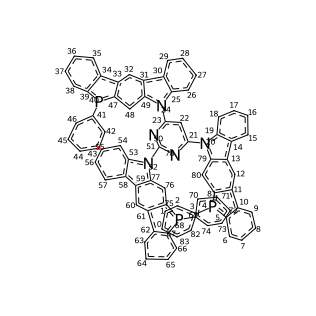 c1ccc(-p2c3ccccc3c3cc4c5ccccc5n(-c5cc(-n6c7ccccc7c7cc8c9ccccc9p(-c9ccccc9)c8cc76)nc(-n6c7ccccc7c7cc8c9ccccc9p(-c9ccccc9)c8cc76)n5)c4cc32)cc1